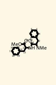 CNC(Cc1ccccc1)C(=O)NC(Cc1ccccc1)C(=O)OC